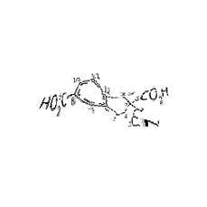 N#CCC1(C(=O)O)CCc2cc(C(=O)O)ccc2C1